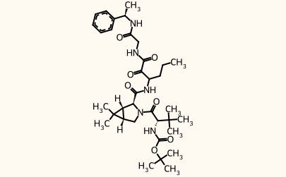 CCCC(NC(=O)[C@@H]1[C@@H]2[C@H](CN1C(=O)[C@@H](NC(=O)OC(C)(C)C)C(C)(C)C)C2(C)C)C(=O)C(=O)NCC(=O)N[C@H](C)c1ccccc1